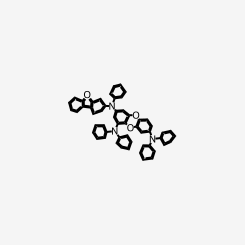 c1ccc(N(c2ccccc2)c2ccc3c(c2)Oc2c(cc(N(c4ccccc4)c4ccc5c(c4)oc4ccccc45)cc2N(c2ccccc2)c2ccccc2)O3)cc1